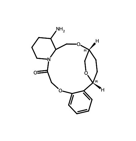 NC1CCCN2C(=O)COc3ccccc3[C@H]3CC[C@H](CO3)OCC12